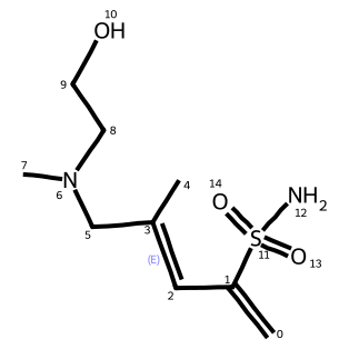 C=C(/C=C(\C)CN(C)CCO)S(N)(=O)=O